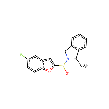 O=C(O)C1c2ccccc2CN1[S+]([O-])c1cc2cc(F)ccc2o1